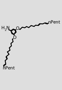 CCCCCC=CCC=CCCCCCCCCOc1cc(CN)cc(OCCCCCCCCC=CCC=CCCCCC)c1